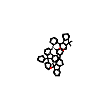 CC1(C)c2ccccc2-c2ccc(-c3cccc(N(c4ccccc4-c4cccc5c4-c4ccccc4C5(C)C)c4cccc5c4-c4ccccc4C5(c4ccccc4)c4ccccc4)c3)cc21